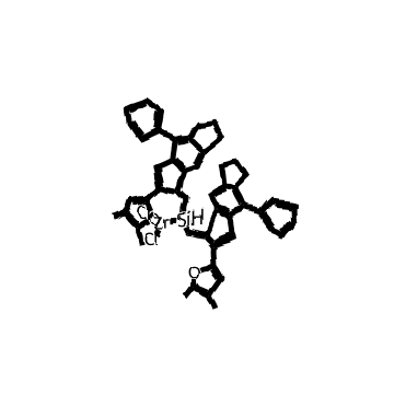 Cc1cc(C2=Cc3c(cc4c(c3-c3ccccc3)CCC4)C2C[SiH](CC2C(c3cc(C)c(C)o3)=Cc3c2cc2c(c3-c3ccccc3)CCC2)[Zr]([Cl])[Cl])oc1C